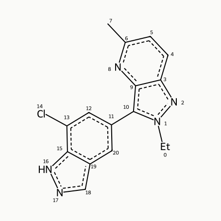 CCn1nc2ccc(C)nc2c1-c1cc(Cl)c2[nH]ncc2c1